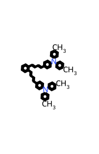 Cc1ccc(N(c2ccc(C)cc2)c2ccc(/C=C/C=C/c3ccccc3/C=C/C=C/c3ccc(N(c4ccc(C)cc4)c4ccc(C)cc4)cc3)cc2)cc1